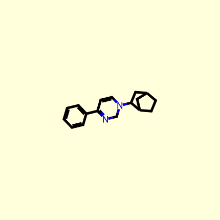 C1=CN(C2CC3CCC2C3)CN=C1c1ccccc1